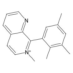 Cc1cc(C)c(C)c(-c2c3ncccc3cc[n+]2C)c1